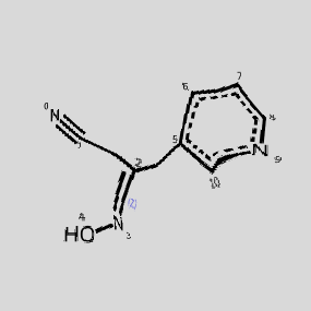 N#C/C(=N\O)c1cccnc1